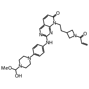 C=CC(=O)N1CC(CCn2c(=O)ccc3cnc(Nc4ccc(N5CCN(C(O)OC)CC5)cc4)nc32)C1